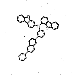 c1ccc(-c2ccc3cc(-c4cccc(N(c5ccc6c(c5)oc5ccccc56)c5cccc6c5sc5ccccc56)c4)ccc3c2)cc1